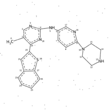 Cc1cnc(Nc2ccc(N3CCNCC3)nc2)nc1-c1cc2ccccc2s1